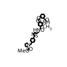 COC(=O)[C@@H]1CCCN1Cc1ccc(-c2ncc(CNC(=O)c3ccc4c(c3C)NC(=O)c3ccccc3S4(=O)=O)s2)cc1